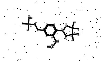 CC1(C)OB(c2ccc(CO[Si](C)(C)C(C)(C)C)cc2NC(=O)O)OC1(C)C